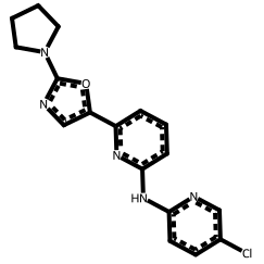 Clc1ccc(Nc2cccc(-c3cnc(N4CCCC4)o3)n2)nc1